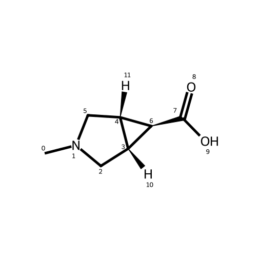 CN1C[C@@H]2[C@H](C1)[C@H]2C(=O)O